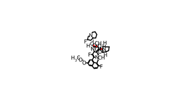 C#Cc1c(F)ccc2cc(OCOC)cc(-c3ncc4c(N5C[C@@H]6CC[C@@H](C5)N6C(=O)OC(C)(C)C)nc(OC[C@@]56CCCCN5C[C@H](F)C6)nc4c3F)c12